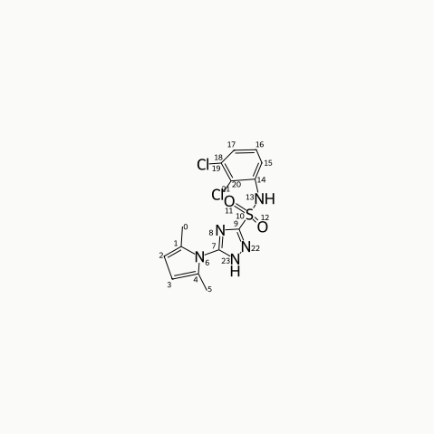 Cc1ccc(C)n1-c1nc(S(=O)(=O)Nc2cccc(Cl)c2Cl)n[nH]1